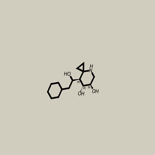 OC(CC1CCCCC1)[C@@H]1[C@@H](O)[C@H](O)CNC12CC2